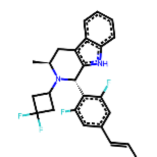 C/C=C/c1cc(F)c([C@H]2c3[nH]c4ccccc4c3C[C@H](C)N2C2CC(F)(F)C2)c(F)c1